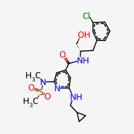 CN(c1cc(C(=O)N[C@H](CO)Cc2cccc(Cl)c2)cc(NCC2CC2)n1)S(C)(=O)=O